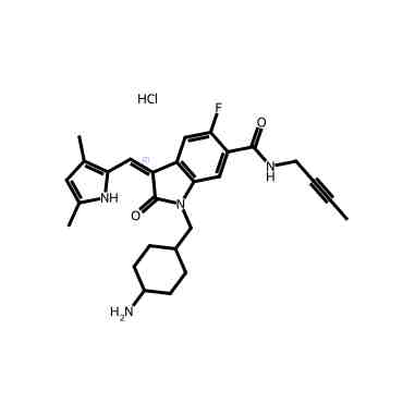 CC#CCNC(=O)c1cc2c(cc1F)/C(=C/c1[nH]c(C)cc1C)C(=O)N2CC1CCC(N)CC1.Cl